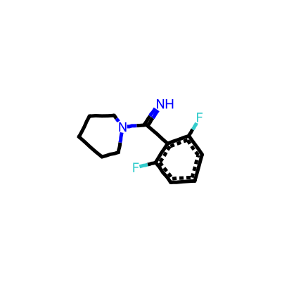 N=C(c1c(F)cccc1F)N1CCCCC1